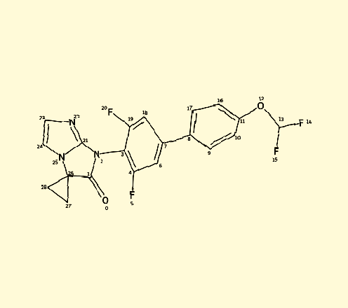 O=C1N(c2c(F)cc(-c3ccc(OC(F)F)cc3)cc2F)c2nccn2C12CC2